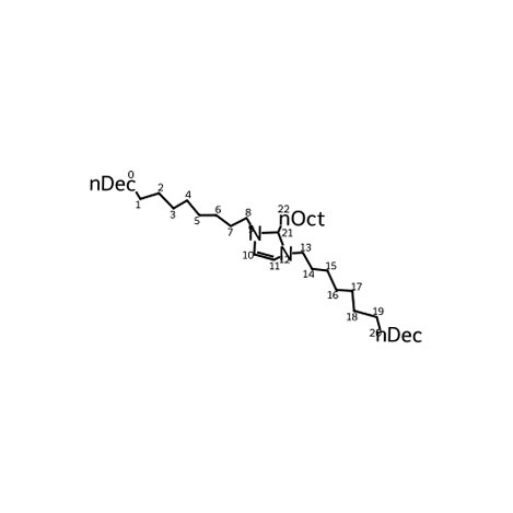 CCCCCCCCCCCCCCCCCCN1C=CN(CCCCCCCCCCCCCCCCC)C1CCCCCCCC